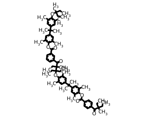 CCC(C)(CC)Oc1c(C)cc(C(C)(C)c2cc(C)c(OC(=O)c3cccc(C(=O)C(C)(CC)C(CC)(CC)Oc4c(C)cc(C(C)(C)c5cc(C)c(OC(=O)c6ccc(C(=O)C(C)(CC)CC)cc6)c(C)c5)cc4C)c3)c(C)c2)cc1C